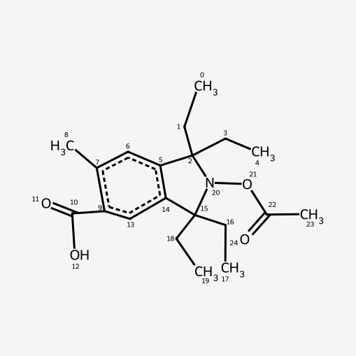 CCC1(CC)c2cc(C)c(C(=O)O)cc2C(CC)(CC)N1OC(C)=O